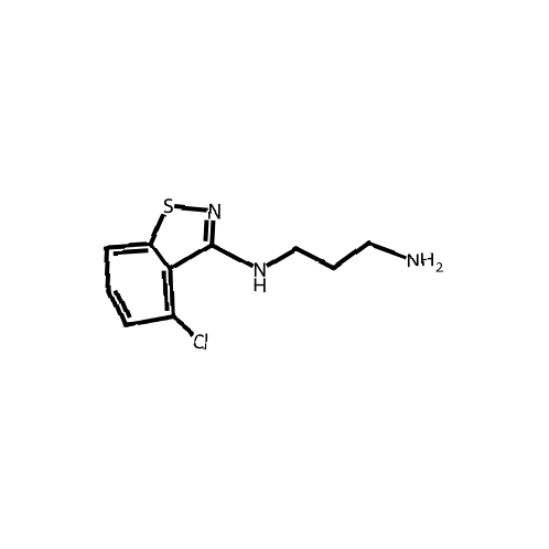 NCCCNc1nsc2cccc(Cl)c12